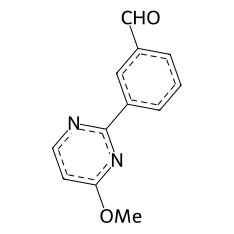 COc1ccnc(-c2cccc(C=O)c2)n1